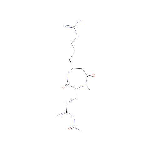 CN1C(=O)C[C@H](CCCNC(=N)N)NC(=O)C1CNC(=N)NC(N)=O